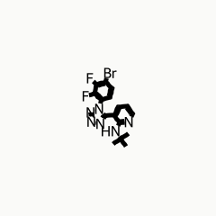 CC(C)(C)Nc1ncccc1-c1nnnn1-c1ccc(Br)c(F)c1F